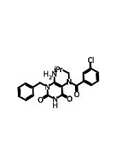 CC(C)CN(C(=O)c1cccc(Cl)c1)c1c(N)n(Cc2ccccc2)c(=O)[nH]c1=O